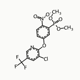 COP(=O)(OC)c1cc(Oc2ncc(C(F)(F)F)cc2Cl)ccc1[N+](=O)[O-]